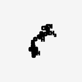 CN(c1ccc(C#N)c(Cl)c1)[C@H]1CC[C@H](NC(=O)c2ccc([C@H]3CC[C@H](CN4Cc5cc6c(cc5C4)C(=O)N([C@H]4CCC(=O)NC4=O)C6=O)CC3)cn2)CC1